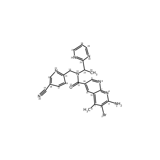 Cc1c(Br)c(N)nc2ncc(C(=O)N(Cc3ccc(C#N)cn3)C(C)c3ncccn3)cc12